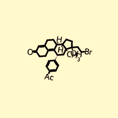 CC(=O)c1ccc([C@H]2C[C@@]3(C)[C@@H](CC[C@]3(O)CCBr)[C@@H]3CCC4=CC(=O)CCC4=C32)cc1